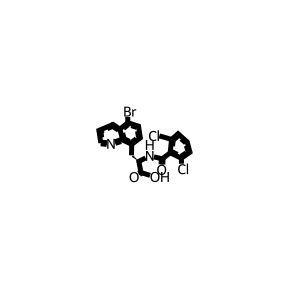 O=C(N[C@@H](Cc1ccc(Br)c2cccnc12)C(=O)O)c1c(Cl)cccc1Cl